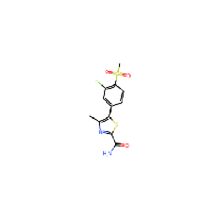 Cc1nc(C(N)=O)sc1-c1ccc(S(C)(=O)=O)c(F)c1